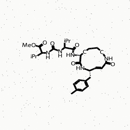 COC(=O)C(NC(=O)NC(C(=O)N[C@H]1CCCCNC(=O)/C=C/[C@H](Cc2ccc(C)cc2)NC1=O)C(C)C)C(C)C